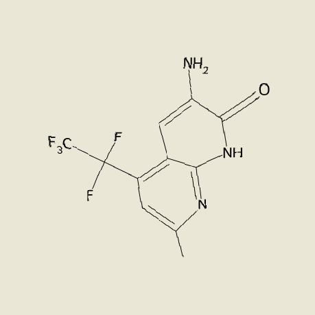 Cc1cc(C(F)(F)C(F)(F)F)c2cc(N)c(=O)[nH]c2n1